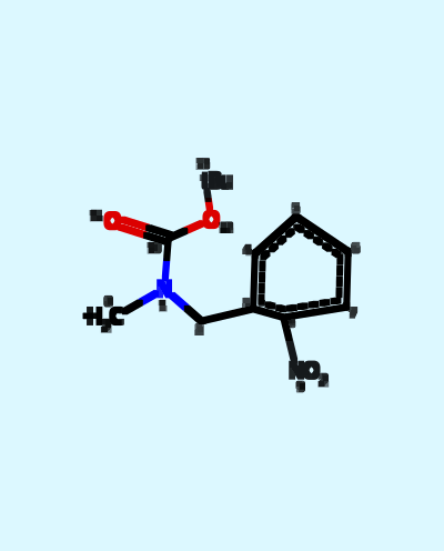 [CH2]N(Cc1ccccc1[N+](=O)[O-])C(=O)OC(C)(C)C